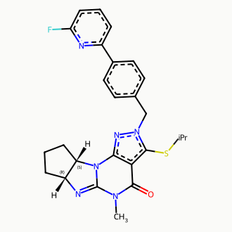 CC(C)Sc1c2c(nn1Cc1ccc(-c3cccc(F)n3)cc1)N1C(=N[C@@H]3CCC[C@@H]31)N(C)C2=O